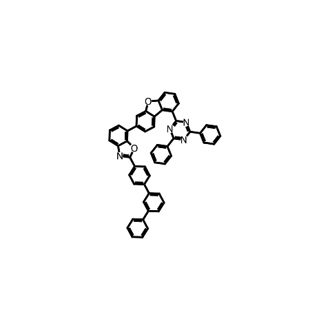 c1ccc(-c2cccc(-c3ccc(-c4nc5cccc(-c6ccc7c(c6)oc6cccc(-c8nc(-c9ccccc9)nc(-c9ccccc9)n8)c67)c5o4)cc3)c2)cc1